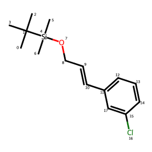 CC(C)(C)[Si](C)(C)OCC=Cc1cccc(Cl)c1